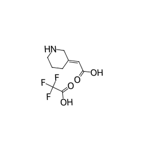 O=C(O)C(F)(F)F.O=C(O)C=C1CCCNC1